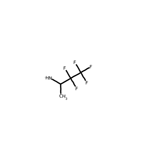 CC([NH])C(F)(F)C(F)(F)F